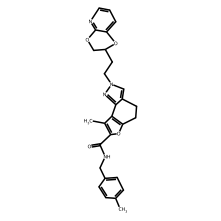 Cc1ccc(CNC(=O)c2oc3c(c2C)-c2nn(CCC4COc5ncccc5O4)cc2CC3)cc1